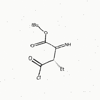 CC[C@@H](C(=N)C(=O)OC(C)(C)C)C(=O)Cl